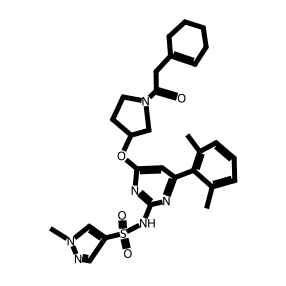 Cc1cccc(C)c1-c1cc(OC2CCN(C(=O)CC3=CCCCC3)C2)nc(NS(=O)(=O)c2cnn(C)c2)n1